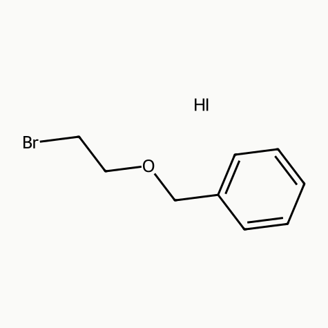 BrCCOCc1ccccc1.I